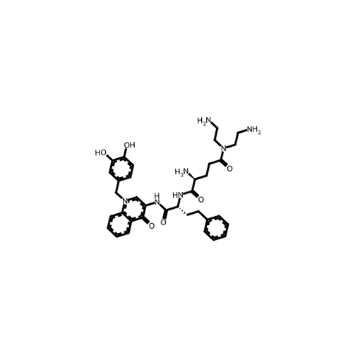 NCCN(CCN)C(=O)CC[C@H](N)C(=O)N[C@H](CCc1ccccc1)C(=O)Nc1cn(Cc2ccc(O)c(O)c2)c2ccccc2c1=O